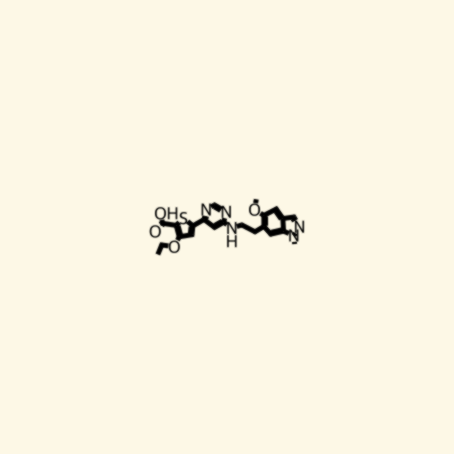 CCOc1cc(-c2cc(NCCc3cc4c(cnn4C)cc3OC)ncn2)sc1C(=O)O